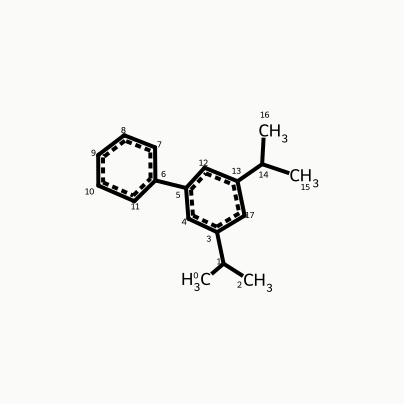 CC(C)c1cc(-c2cc[c]cc2)cc(C(C)C)c1